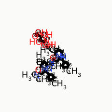 CCO.Cc1ccc(-c2nc3ccc(C)cn3c2CC(=O)N(C)C)cc1.Cc1ccc(-c2nc3ccc(C)cn3c2CC(=O)N(C)C)cc1.O=C(O)C(O)C(O)C(=O)O